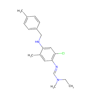 CCN(C)C=Nc1cc(C)c(NCc2ccc(C)cc2)cc1Cl